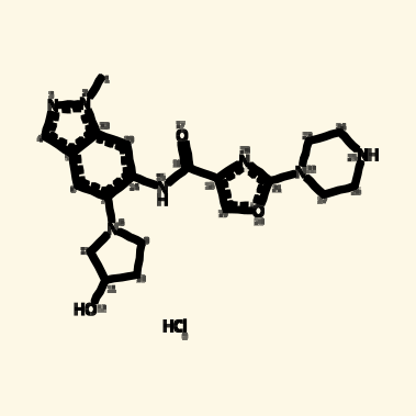 Cl.Cn1ncc2cc(N3CCC(O)C3)c(NC(=O)c3coc(N4CCNCC4)n3)cc21